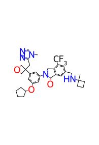 Cn1cnnc1CC1(c2cc(OC3CCCC3)cc(N3Cc4c(cc(CNC5(C)CCC5)cc4C(F)(F)F)C3=O)c2)COC1